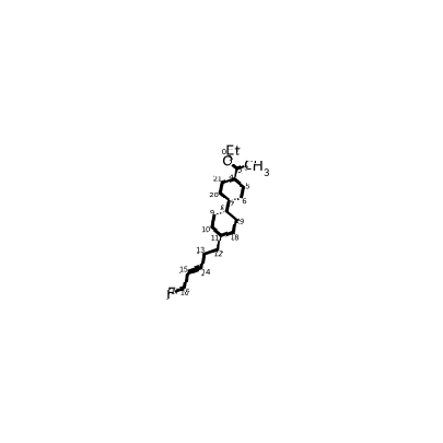 CCOC(C)[C@H]1CC[C@H]([C@H]2CC[C@H](CCC=CCF)CC2)CC1